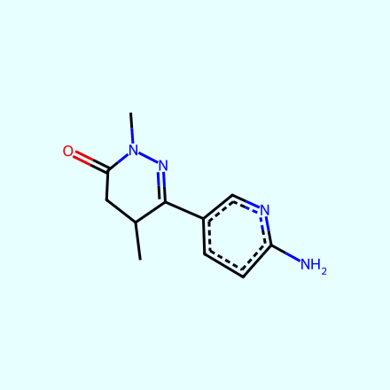 CC1CC(=O)N(C)N=C1c1ccc(N)nc1